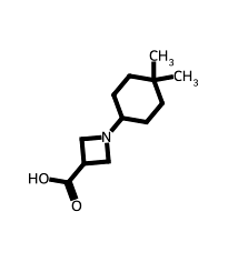 CC1(C)CCC(N2CC(C(=O)O)C2)CC1